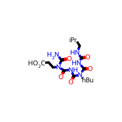 CCCCN(C(=O)NC(=O)NCC(C)C)C(=O)NC(=O)N(CCC(=O)O)C(N)=O